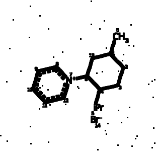 CC1CCC(C(C)C)C([n+]2ccccc2)C1.[Br-]